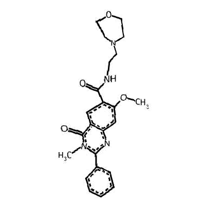 COc1cc2nc(-c3ccccc3)n(C)c(=O)c2cc1C(=O)NCCN1CCOCC1